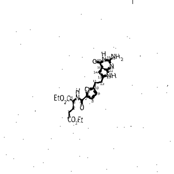 CCOC(=O)CC[C@H](NC(=O)c1ccc(CCc2cc3c(=O)[nH]c(N)nc3[nH]2)o1)C(=O)OCC